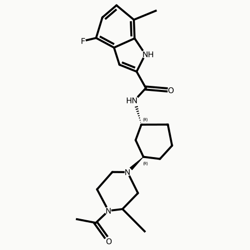 CC(=O)N1CCN([C@@H]2CCC[C@@H](NC(=O)c3cc4c(F)ccc(C)c4[nH]3)C2)CC1C